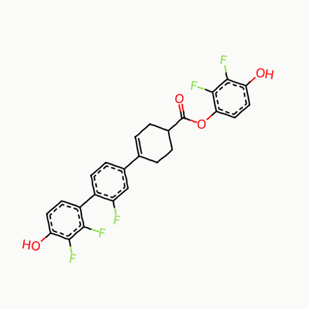 O=C(Oc1ccc(O)c(F)c1F)C1CC=C(c2ccc(-c3ccc(O)c(F)c3F)c(F)c2)CC1